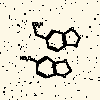 O=C(O)Cc1ccc2c(c1)OCO2.O=C(O)c1ccc2c(c1)OCO2